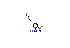 C=CCCCOc1ccc(C(=O)NC)c(N)c1